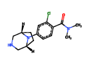 CN(C)C(=O)c1ccc(N2[C@@H]3CC[C@H]2CNC3)cc1Cl